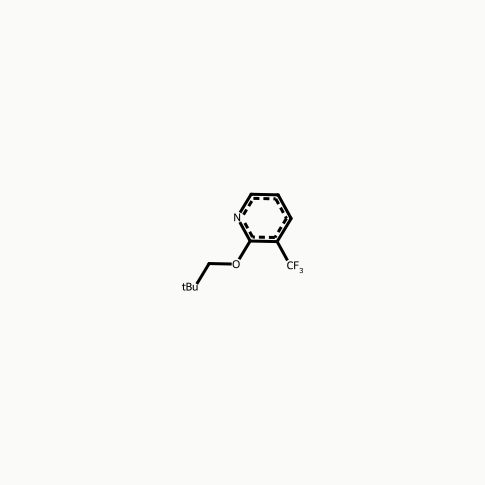 CC(C)(C)COc1ncccc1C(F)(F)F